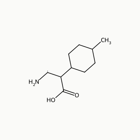 CC1CCC(C([CH]N)C(=O)O)CC1